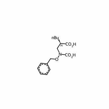 CCCC[C@H](CN(OCc1ccccc1)C(=O)O)C(=O)O